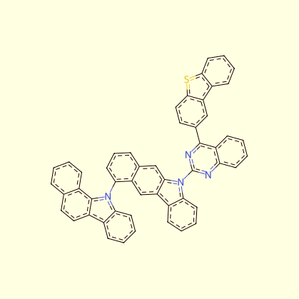 c1cc(-n2c3ccccc3c3ccc4ccccc4c32)c2cc3c4ccccc4n(-c4nc(-c5ccc6sc7ccccc7c6c5)c5ccccc5n4)c3cc2c1